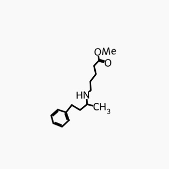 COC(=O)CCCCNC(C)CCc1ccccc1